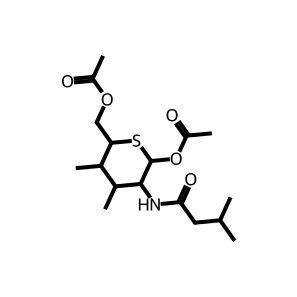 CC(=O)OCC1SC(OC(C)=O)C(NC(=O)CC(C)C)C(C)C1C